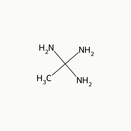 CC(N)(N)N